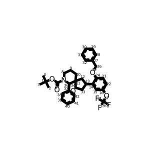 CC(C)(C)OC(=O)N1CCCC2(CC(c3cc(OC(F)(F)F)ccc3OCc3ccccc3)CC2=O)C1c1ccccc1